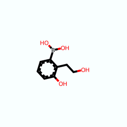 OCCc1c(O)cccc1B(O)O